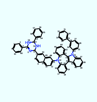 c1ccc(C2=NC(c3ccc4ccc(N5c6ccccc6-c6c(n(-c7cccc(-c8ccccc8)c7)c7ccccc67)-c6ccccc65)cc4c3)NC(c3ccccc3)N2)cc1